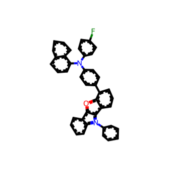 Fc1ccc(N(c2ccc(-c3cccc4c3oc3c5ccccc5n(-c5ccccc5)c43)cc2)c2cccc3ccccc23)cc1